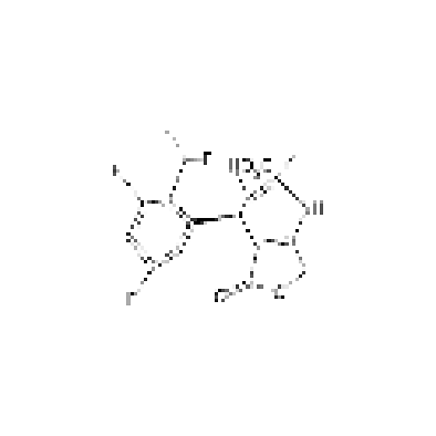 CC1=C(C(=O)O)[C@H](c2cc(F)cc(F)c2[C@H](C)F)C2=C(COC2=O)N1